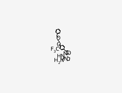 N=C(N)N1CCC[C@H]1c1nc(-c2ccc(OCCOCc3ccccc3)c(C(F)(F)F)c2)co1